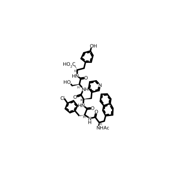 CC(=O)N[C@H](Cc1ccc2ccccc2c1)C(=O)N[C@H](Cc1ccc(Cl)cc1)C(=O)N[C@H](Cc1cccnc1)C(=O)N[C@@H](CO)C(=O)N[C@@H](Cc1ccc(O)cc1)C(=O)O